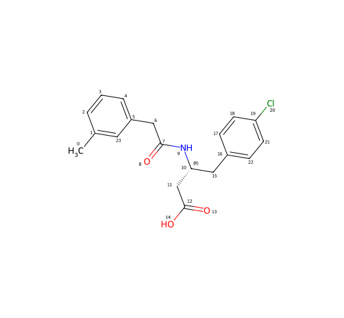 Cc1cccc(CC(=O)N[C@@H](CC(=O)O)Cc2ccc(Cl)cc2)c1